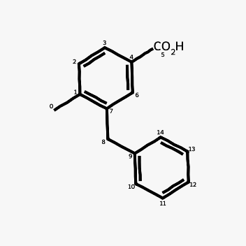 Cc1ccc(C(=O)O)cc1Cc1ccccc1